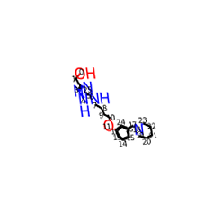 OCc1n[nH]c(NCCCCOc2cccc(CN3CCCCC3)c2)n1